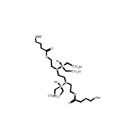 CCCCCCCCCCCCCC(=O)OCCN(CCN(CCOC(=O)CCCCCCCCCCCCC)[N+](CC(=O)O)(CC(=O)O)C(C)=O)[N+](CC(=O)O)(CC(=O)O)C(C)=O